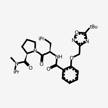 CC(C)C[C@@H](NC(=O)c1ccccc1OCc1noc(C(C)(C)C)n1)C(=O)N1CCC[C@@H]1C(=O)N(C)C(C)C